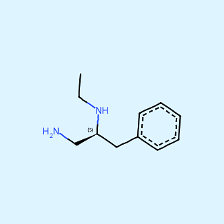 CCN[C@H](CN)Cc1ccccc1